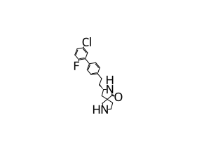 O=C1N[C@H](CCc2ccc(-c3cc(Cl)ccc3F)cc2)CC12CCNC2